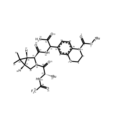 CC(C)(C)OC(=O)N1CCOc2cc(C(NC(=O)[C@@H]3[C@@H]4[C@H](CN3C(=O)[C@@H](NC(=O)C(F)(F)F)C(C)(C)C)C4(C)C)C(N)=O)ccc21